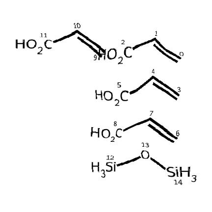 C=CC(=O)O.C=CC(=O)O.C=CC(=O)O.C=CC(=O)O.[SiH3]O[SiH3]